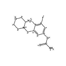 Cc1c(F)cc(OC(N)=O)cc1CN1CCOCC1